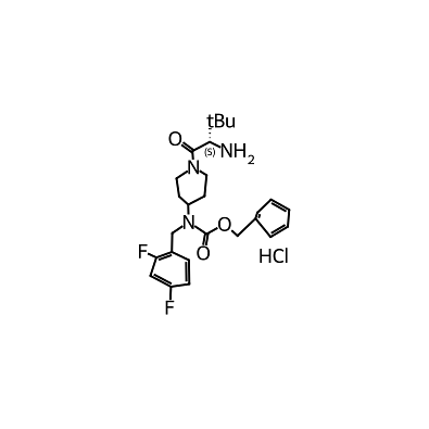 CC(C)(C)[C@H](N)C(=O)N1CCC(N(Cc2ccc(F)cc2F)C(=O)OCc2ccccc2)CC1.Cl